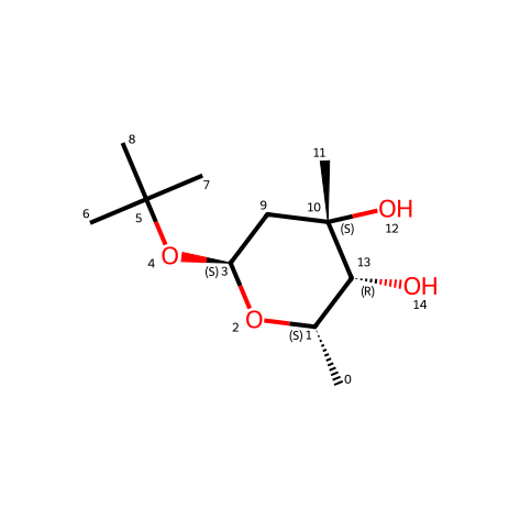 C[C@@H]1O[C@@H](OC(C)(C)C)C[C@](C)(O)[C@@H]1O